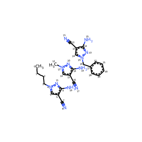 CCCCn1cc(C#N)c(N)n1.Cn1cc(C#N)c(N)n1.N#Cc1cn(Cc2ccccc2)nc1N